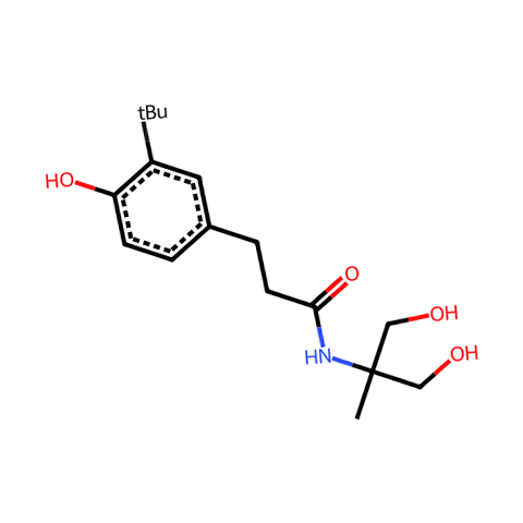 CC(CO)(CO)NC(=O)CCc1ccc(O)c(C(C)(C)C)c1